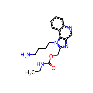 CCNC(=O)OCc1nc2cnc3ccccc3c2n1CCCCN